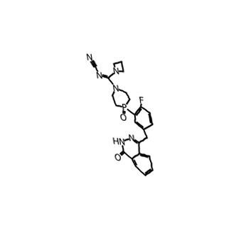 N#C/N=C(\N1CCC1)N1CCP(=O)(c2cc(Cc3n[nH]c(=O)c4ccccc34)ccc2F)CC1